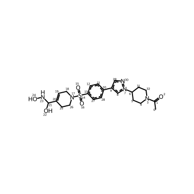 CC(=O)N1CCC(n2cc(-c3ccc(S(=O)(=O)N4CC=C(C(O)NO)CC4)cc3)cn2)CC1